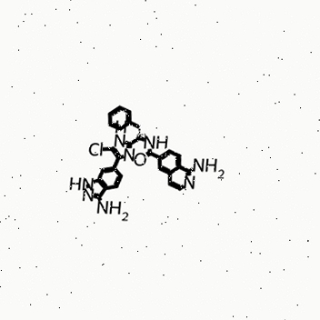 Nc1nccc2cc(C(=O)N[C@@H](Cc3ccccc3)c3nc(-c4ccc5c(N)n[nH]c5c4)c(Cl)[nH]3)ccc12